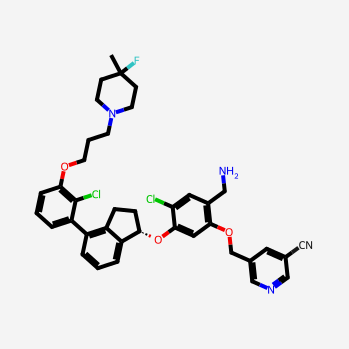 CC1(F)CCN(CCCOc2cccc(-c3cccc4c3CC[C@@H]4Oc3cc(OCc4cncc(C#N)c4)c(CN)cc3Cl)c2Cl)CC1